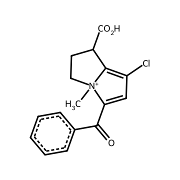 C[N+]12CCC(C(=O)O)C1=C(Cl)C=C2C(=O)c1ccccc1